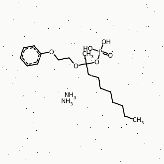 CCCCCCCCC(C)(OCCOc1ccccc1)OP(=O)(O)O.N.N